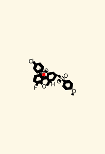 COc1ccc(S(=O)(=O)C[C@@H]2CC[C@@]3(S(=O)(=O)c4ccc(Cl)cc4)c4c(F)ccc(F)c4OC[C@H]3C2)cc1